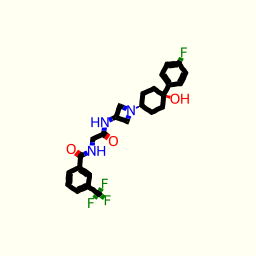 O=C(CNC(=O)c1cccc(C(F)(F)F)c1)NC1CN([C@H]2CC[C@@](O)(c3ccc(F)cc3)CC2)C1